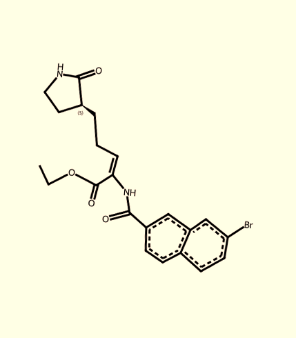 CCOC(=O)C(=CCC[C@H]1CCNC1=O)NC(=O)c1ccc2ccc(Br)cc2c1